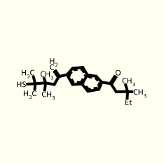 C=C(CC(C)(C)C(C)(C)S)c1ccc2cc(C(=O)CC(C)(C)CC)ccc2c1